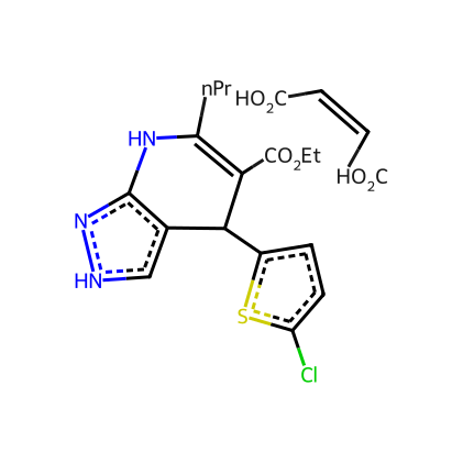 CCCC1=C(C(=O)OCC)C(c2ccc(Cl)s2)c2c[nH]nc2N1.O=C(O)/C=C\C(=O)O